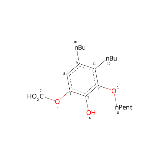 CCCCCOc1c(O)c(OC(=O)O)cc(CCCC)c1CCCC